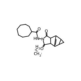 O=C(NN1C(=O)C2C3C=CC(C4CC34)C2C1=O)[C]1CCCCCCC1.[CH2].[CH2]